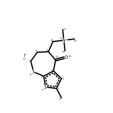 Cc1cc2c(s1)SCCC(C[N+](C)(C)C)C2=O.[I-]